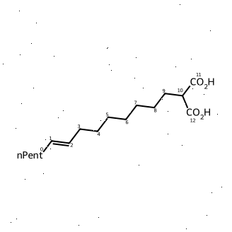 CCCCCC=CCCCCCCCC(C(=O)O)C(=O)O